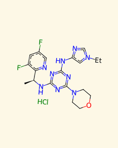 CCn1cnc(Nc2nc(N[C@@H](C)c3ncc(F)cc3F)nc(N3CCOCC3)n2)c1.Cl